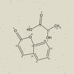 CC(O)C(=O)O.O=c1ccc2ccccc2o1